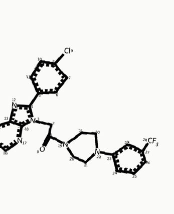 O=C(Cn1c(-c2ccc(Cl)cc2)nc2cccnc21)N1CCN(c2cccc(C(F)(F)F)c2)CC1